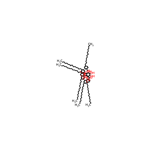 CCCCCCCCCCCCCCCc1ccc(C(=O)O[C@@]2(C(=O)c3ccc(CCCCCCCCCCCCCCC)cc3)[C@@](OC(=O)c3ccc(CCCCCCCCCCCCCCC)cc3)(C(=O)c3ccc(CCCCCCCCCCCCCCC)cc3)[C@@H](O)[C@H](O)[C@@H](O)[C@@]2(OC(=O)c2ccc(CCCCCCCCCCCCCCC)cc2)C(=O)c2ccc(CCCCCCCCCCCCCCC)cc2)cc1